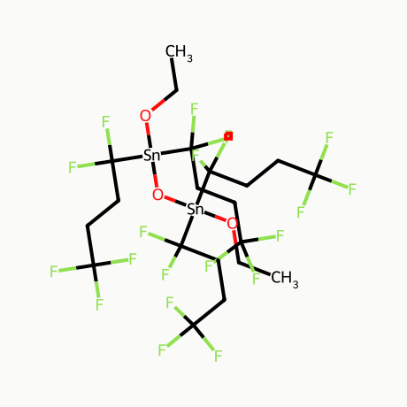 CC[O][Sn]([O][Sn]([O]CC)([C](F)(F)CCC(F)(F)F)[C](F)(F)CCC(F)(F)F)([C](F)(F)CCC(F)(F)F)[C](F)(F)CCC(F)(F)F